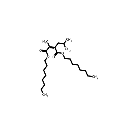 CCCCCCCCOC(=O)C(C)=C(CC(C)C)C(=O)OCCCCCCCC